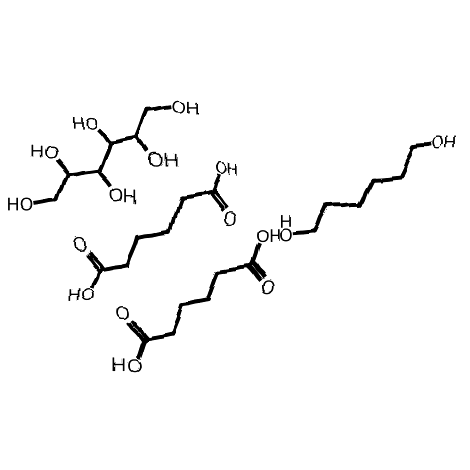 O=C(O)CCCCC(=O)O.O=C(O)CCCCC(=O)O.OCC(O)C(O)C(O)C(O)CO.OCCCCCCO